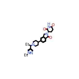 CCC(c1cnn(CC)c1)N1CCC(c2ccc3c(c2)CN(C2CCC(=O)NC2=O)C3=O)CC1